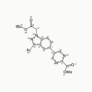 COC(=O)c1ncc(-c2ccc3c(c2)c(C(C)=O)nn3CC(=O)OC(C)(C)C)cn1